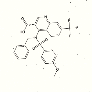 COc1ccc(S(=O)(=O)N(Cc2ccccc2)c2c(C(=O)O)cnc3cc(C(F)(F)F)ccc23)cc1